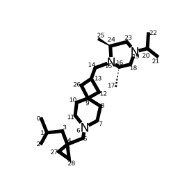 CC(C)CC1(CN2CCC3(CC2)CC(CN2[C@@H](C)CN(C(C)C)C[C@@H]2C)C3)CC1